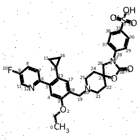 CCOc1cc(-c2ccc(F)cn2)c(C2CC2)cc1CN1CCC2(CC1)CN(c1ccc(S(=O)(=O)O)cc1)C(=O)O2